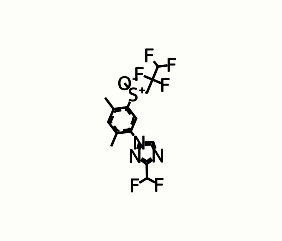 Cc1cc(C)c([S+]([O-])CC(F)(F)C(F)F)cc1-n1cnc(C(F)F)n1